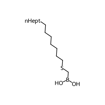 CCCCCCCCCCCCCCSCB(O)O